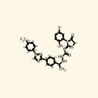 CC(C)c1ccc(F)cc1N1C(=O)CS/C1=N\C(=O)NNC(C)c1ccc(-c2ncn(-c3ccc(C(F)(F)F)cc3)n2)cc1